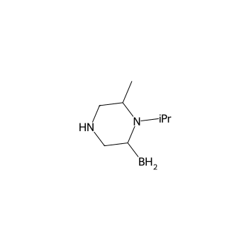 BC1CNCC(C)N1C(C)C